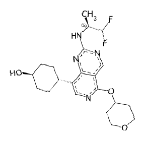 C[C@H](Nc1ncc2c(OC3CCOCC3)ncc([C@H]3CC[C@H](O)CC3)c2n1)C(F)F